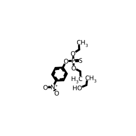 CCO.CCOP(=S)(OCC)Oc1ccc([N+](=O)[O-])cc1